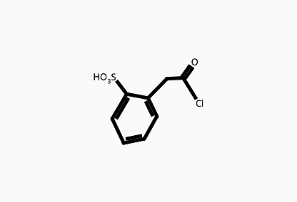 O=C(Cl)Cc1ccccc1S(=O)(=O)O